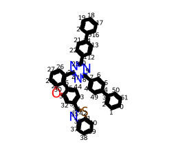 c1ccc(-c2ccc(-c3nc(-c4ccc(-c5ccccc5)cc4)nc(-c4cccc5oc6cc(-c7nc8ccccc8s7)ccc6c45)n3)cc2)cc1